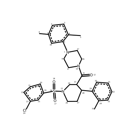 Cc1ccc(C)c(N2CCN(C(=O)C3CN(S(=O)(=O)c4cccc(Cl)c4)CCC3c3ccccc3C)CC2)c1